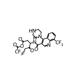 O=C(CC(NC(=O)c1cnc2c(C(F)(F)F)cccc2c1N1CCNCC1)C(=O)CF)OC(=O)C(F)(F)F